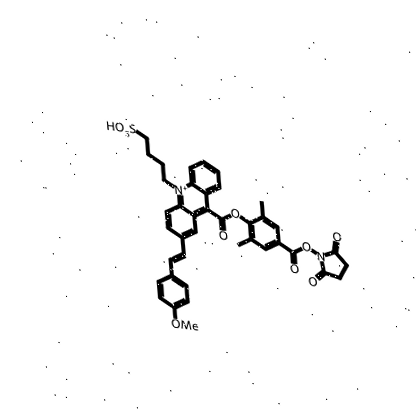 COc1ccc(C=Cc2ccc3c(c2)c(C(=O)Oc2c(C)cc(C(=O)ON4C(=O)CCC4=O)cc2C)c2ccccc2[n+]3CCCCS(=O)(=O)O)cc1